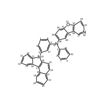 c1ccc(N(c2cccc(-n3c4ccccc4c4c5ccccc5ccc43)c2)c2ccc3oc4ccncc4c3c2)cc1